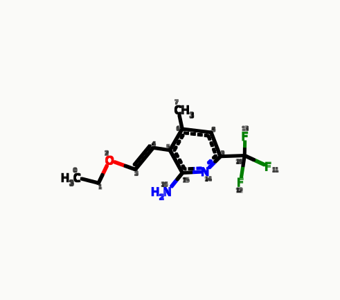 CCOC=Cc1c(C)cc(C(F)(F)F)nc1N